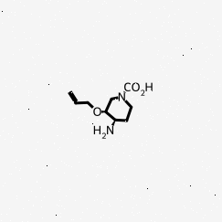 C=CCO[C@H]1CN(C(=O)O)CC[C@H]1N